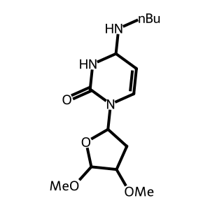 CCCCNC1C=CN(C2CC(OC)C(OC)O2)C(=O)N1